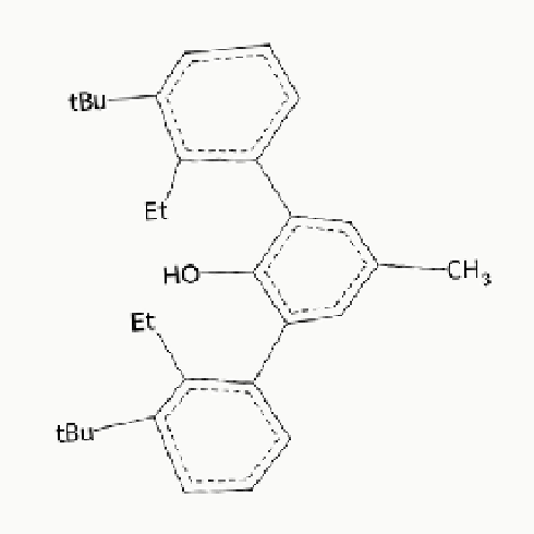 CCc1c(-c2cc(C)cc(-c3cccc(C(C)(C)C)c3CC)c2O)cccc1C(C)(C)C